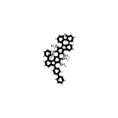 Bc1c(B)c2c(c(B)c1-c1c(B)c(B)c3c(c1B)-c1ccccc1C3c1cccc3sc4ccccc4c13)-c1c(-c3ccccc3)cccc1C2c1ccc(-c2ccccc2)cc1